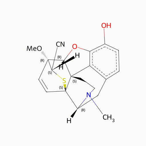 CO[C@@]12C=C[C@@]3(S[C@H]1C#N)[C@H]1Cc4ccc(O)c5c4[C@@]3(CCN1C)[C@H]2O5